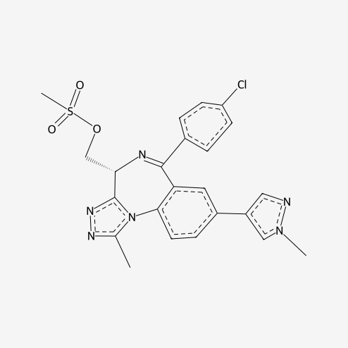 Cc1nnc2n1-c1ccc(-c3cnn(C)c3)cc1C(c1ccc(Cl)cc1)=N[C@H]2COS(C)(=O)=O